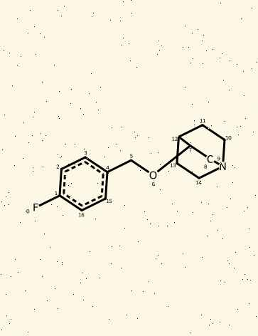 Fc1ccc(COC2CN3CCC2CC3)cc1